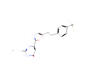 Cc1nc(-c2ncc(CCc3ccc(C(F)(F)F)cc3)o2)cc(=O)[nH]1